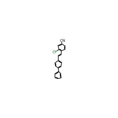 N#Cc1ccc(/C=C/c2ccc(-c3ccccc3)cc2)c(Cl)c1